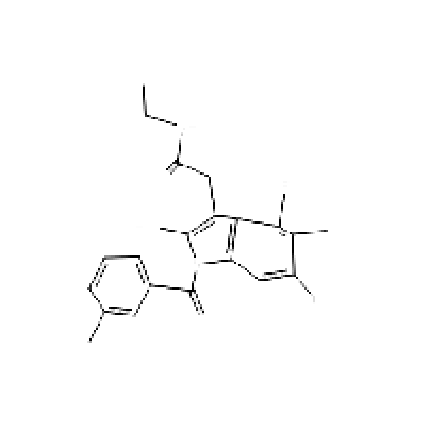 CCNC(=O)Cc1c(C)n(C(=O)c2cccc(F)c2)c2cc(F)c(O)c(F)c12